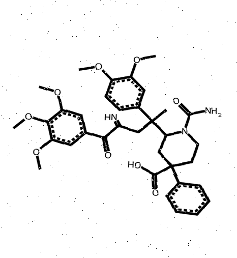 COc1ccc(C(C)(CC(=N)C(=O)c2cc(OC)c(OC)c(OC)c2)C2CC(C(=O)O)(c3ccccc3)CCN2C(N)=O)cc1OC